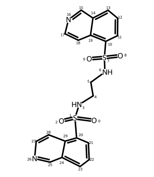 O=S(=O)(NCCNS(=O)(=O)c1cccc2cnccc12)c1cccc2cnccc12